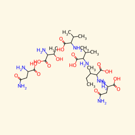 CC(C)C(N)C(=O)O.CC(C)C(N)C(=O)O.CC(O)C(N)C(=O)O.CCC(C)C(N)C(=O)O.NC(=O)CC(N)C(=O)O.NC(=O)CC(N)C(=O)O